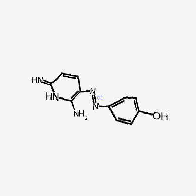 N=c1ccc(/N=N/c2ccc(O)cc2)c(N)[nH]1